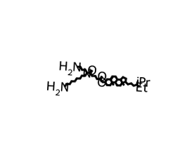 CCC(CCCC1CCC2C3CC=C4CC(OC(=O)CCCC(=O)N(CCCN)CCCCCCCCN)CCC4(C)C3CCC12C)C(C)C